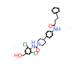 O=C(CCCc1ccccc1)Nc1ccc(C2CCN(C(=O)Nc3c(Cl)cc(CO)cc3Cl)CC2)cc1